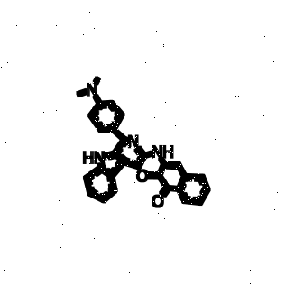 CN(C)c1ccc(-c2nc(NC3=Cc4ccccc4C(=O)C3=O)cc3c2[nH]c2ccccc23)cc1